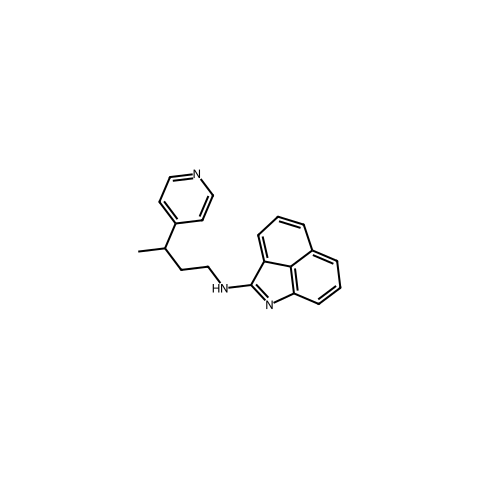 CC(CCNC1=Nc2cccc3cccc1c23)c1ccncc1